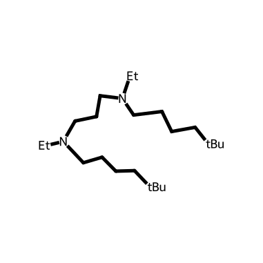 CCN(CCCCC(C)(C)C)CCCN(CC)CCCCC(C)(C)C